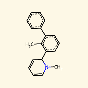 Cc1c(-c2ccccc2)cccc1C1C=CC=CN1C